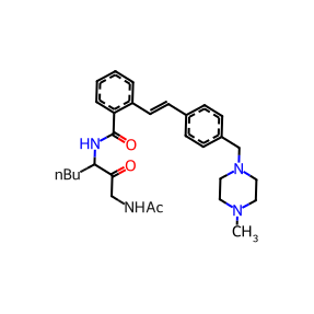 CCCCC(NC(=O)c1ccccc1C=Cc1ccc(CN2CCN(C)CC2)cc1)C(=O)CNC(C)=O